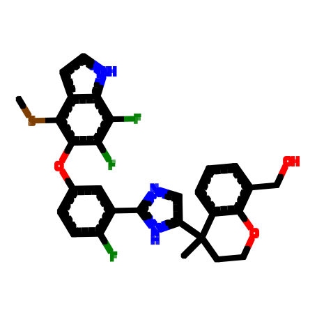 CSc1c(Oc2ccc(F)c(-c3ncc(C4(C)CCOc5c(CO)cccc54)[nH]3)c2)c(F)c(F)c2[nH]ccc12